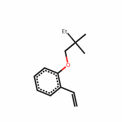 C=Cc1ccccc1OCC(C)(C)CC